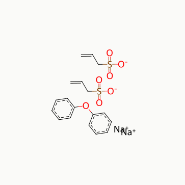 C=CCS(=O)(=O)[O-].C=CCS(=O)(=O)[O-].[Na+].[Na+].c1ccc(Oc2ccccc2)cc1